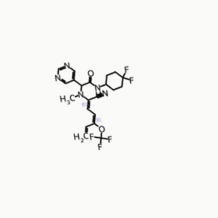 C=C/C(=C\C=C(/C#N)N(C)C(C(=O)NC1CCC(F)(F)CC1)c1cncnc1)OC(F)(F)F